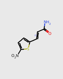 NC(=O)/C=C/c1ccc([N+](=O)[O-])s1